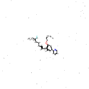 C=CCOc1cc(-c2ccccn2)ccc1C=CCCCC(C)F